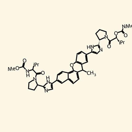 CNC(=O)O[C@H](C(=O)N1CCC[C@H]1c1ncc(-c2ccc3c(c2)C(C)c2ccc4cc(-c5cnc(C6CCCN6C(=O)C(NC(=O)OC)C(C)C)[nH]5)ccc4c2O3)[nH]1)C(C)C